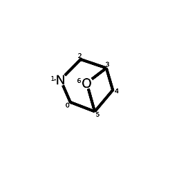 C1[N]CC2CC1O2